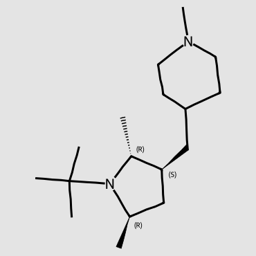 C[C@@H]1C[C@H](CC2CCN(C)CC2)[C@@H](C)N1C(C)(C)C